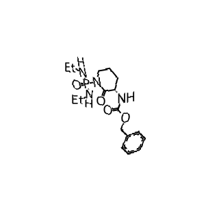 CCNP(=O)(NCC)N1CCC[C@H](NC(=O)OCc2ccccc2)C1=O